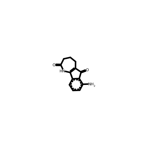 Nc1cccc2c1C(=O)C1=C2NC(=O)CCC1